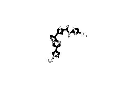 Cc1csc(NC(=O)c2cc(-c3cnn4cc(-c5cnn(C)c5)cnc34)cs2)n1